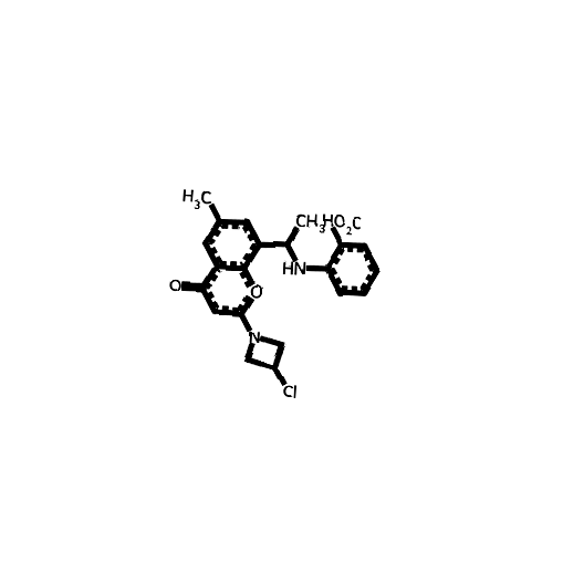 Cc1cc(C(C)Nc2ccccc2C(=O)O)c2oc(N3CC(Cl)C3)cc(=O)c2c1